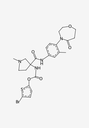 Cc1cc(NC(=O)C2(NC(=O)Oc3ccc(Br)s3)CCN(C)C2)ccc1N1CCOCCC1=O